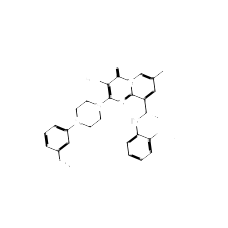 Cc1cc([C@@H](C)Nc2ccccc2C(=O)O)c2nc(N3CCN(c4cccc(C#N)c4)C[C@H]3C)c(C#N)c(=O)n2c1